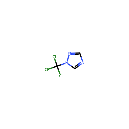 ClC(Cl)(Cl)n1cncn1